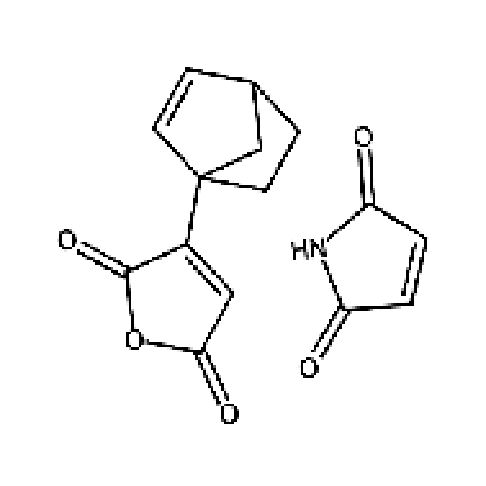 O=C1C=C(C23C=CC(CC2)C3)C(=O)O1.O=C1C=CC(=O)N1